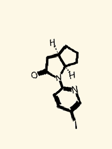 O=C1C[C@H]2CCC[C@H]2N1c1ccc(I)cn1